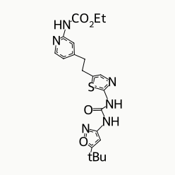 CCOC(=O)Nc1cc(CCc2cnc(NC(=O)Nc3cc(C(C)(C)C)on3)s2)ccn1